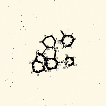 Cc1cccnc1[C@@H]1CCC[C@H](c2cn3ccccc3n2)N1Cc1ccccc1-n1cccn1